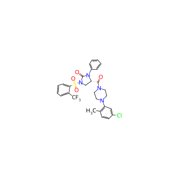 Cc1ccc(Cl)cc1N1CCN(C(=O)[C@@H]2CN(S(=O)(=O)c3ccccc3C(F)(F)F)C(=O)N2c2ccccc2)CC1